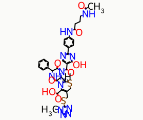 CC(=O)NCCCC(=O)Nc1ccc(-c2ncc(C(=O)N(C(=O)C(N)c3ccccc3)C3C(=O)N4C(C(=O)O)=C(CSc5nnnn5C)CS[C@@H]34)c(O)n2)cc1